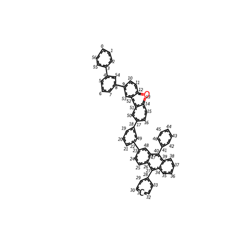 c1ccc(-c2cccc(-c3ccc4oc5ccc(-c6cccc(-c7ccc8c(-c9ccccc9)c9ccccc9c(-c9ccccc9)c8c7)c6)cc5c4c3)c2)cc1